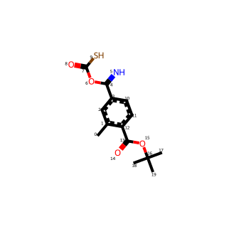 Cc1cc(C(=N)OC(=O)S)ccc1C(=O)OC(C)(C)C